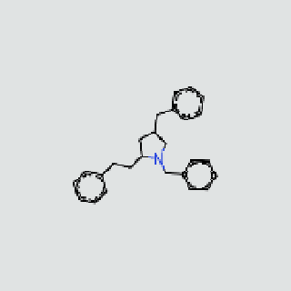 c1ccc(CCC2CC(Cc3ccccc3)CN2Cc2ccccc2)cc1